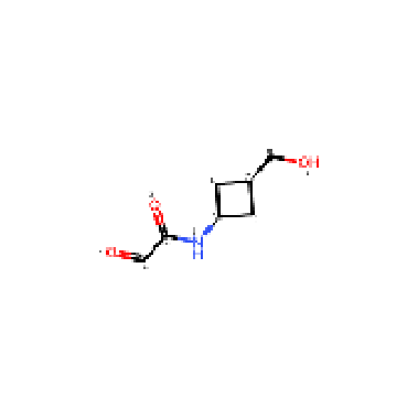 O=CC(=O)N[C@H]1C[C@@H](CO)C1